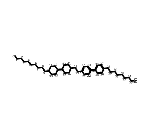 CCCCCCCCCCC1CCC(C2CCC(CCc3ccc(-c4ccc(CCCCCCCCF)cc4)cc3)CC2)CC1